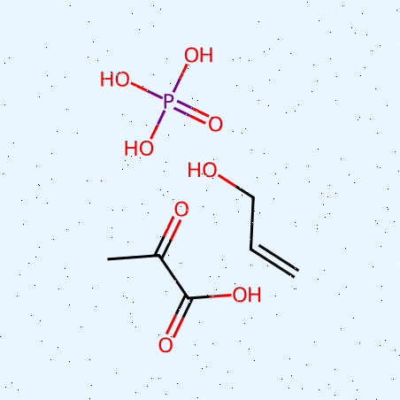 C=CCO.CC(=O)C(=O)O.O=P(O)(O)O